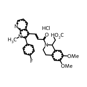 COc1cc2c(cc1OC)C(CC(=O)O)N(C(=O)C=Cc1c(-c3ccc(F)cc3)n(C)c3ncccc13)CC2.Cl